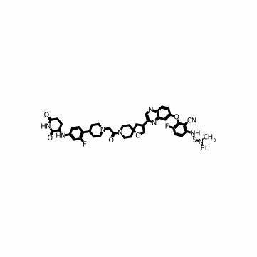 CCN(C)SNc1ccc(F)c(Oc2ccc3ncc(C4COC5(CCN(C(=O)CN6CCC(c7ccc(NC8CCC(=O)NC8=O)cc7F)CC6)CC5)C4)nc3c2)c1C#N